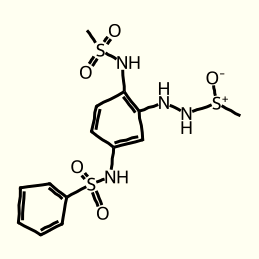 C[S+]([O-])NNc1cc(NS(=O)(=O)c2ccccc2)ccc1NS(C)(=O)=O